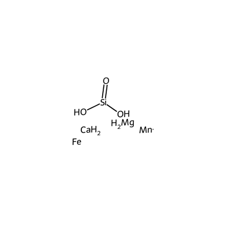 O=[Si](O)O.[CaH2].[Fe].[MgH2].[Mn]